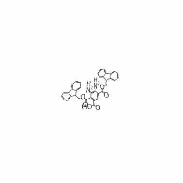 Nc1c(C(=O)OCC2c3ccccc3-c3ccccc32)cc(C(=O)O)c(C(=O)OCC2c3ccccc3-c3ccccc32)c1N